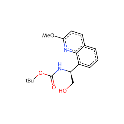 COc1ccc2cccc([C@@H](CO)NC(=O)OC(C)(C)C)c2n1